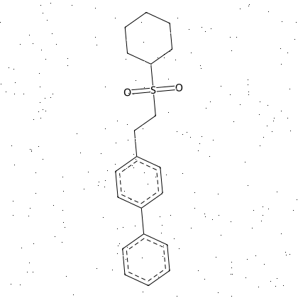 O=S(=O)(CCc1ccc(-c2ccccc2)cc1)C1CCCCC1